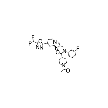 CC(=O)N1CCC(C(=O)N(Cc2cn3ccc(-c4nnc(C(F)F)o4)cc3n2)c2cccc(F)c2)CC1